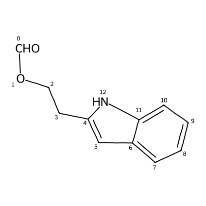 O=COCCc1cc2ccccc2[nH]1